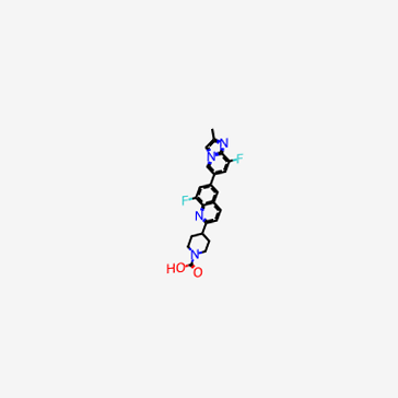 Cc1cn2cc(-c3cc(F)c4nc(C5CCN(C(=O)O)CC5)ccc4c3)cc(F)c2n1